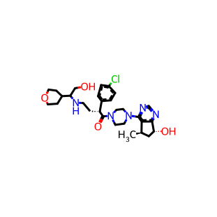 C[C@@H]1C[C@@H](O)c2ncnc(N3CCN(C(=O)[C@H](CCNC(CO)C4CCOCC4)c4ccc(Cl)cc4)CC3)c21